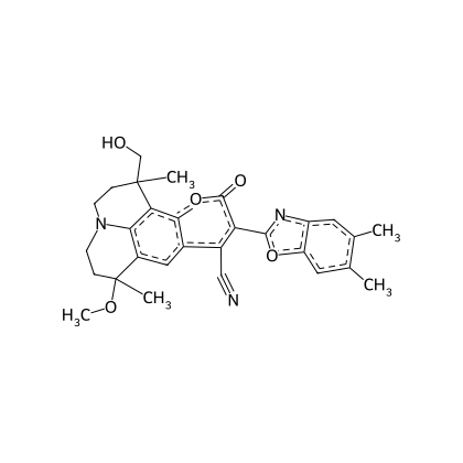 COC1(C)CCN2CCC(C)(CO)c3c2c1cc1c(C#N)c(-c2nc4cc(C)c(C)cc4o2)c(=O)oc31